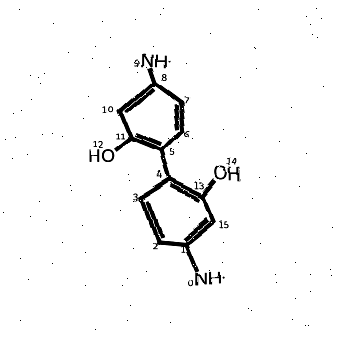 [NH]c1ccc(-c2ccc([NH])cc2O)c(O)c1